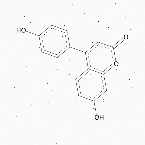 O=c1cc(-c2ccc(O)cc2)c2ccc(O)cc2o1